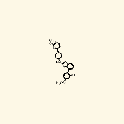 COc1ccc(-c2cccn3nc(NC4CCN(c5ccnc(OC)n5)CC4)nc23)c(Cl)c1